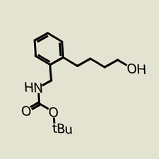 CC(C)(C)OC(=O)NCc1ccccc1CCCCO